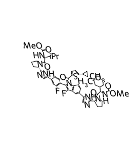 COC(=O)NC(C(=O)N1CCC[C@H]1c1ncc(-c2ccc3c(c2)c(F)c2n3C(c3ccc(C4CC4)s3)Oc3cc(-c4cnc([C@@H]5CCCN5C(=O)[C@@H](NC(=O)OC)C(C)C)[nH]4)cc(F)c3-2)[nH]1)C1CCOC(C)(C)C1